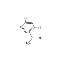 CC(O)c1cnc(Cl)cc1Cl